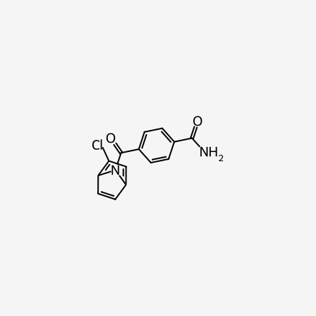 NC(=O)c1ccc(C(=O)n2c3ccc2c(Cl)c3)cc1